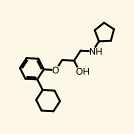 OC(CNC1CCCC1)COc1ccccc1C1CCCCC1